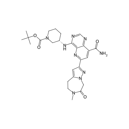 CN1CCc2cc(-c3cc(C(N)=O)c4ncnc(N[C@H]5CCCN(C(=O)OC(C)(C)C)C5)c4n3)nn2CC1=O